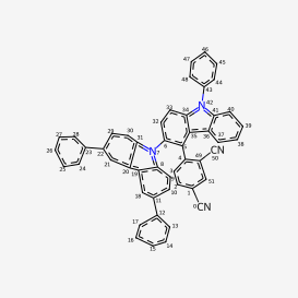 N#Cc1ccc(-c2c(-n3c4ccc(-c5ccccc5)cc4c4cc(-c5ccccc5)ccc43)ccc3c2c2ccccc2n3-c2ccccc2)c(C#N)c1